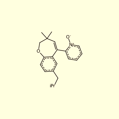 CC(C)Cc1ccc2c(c1)C(c1cccc[n+]1[O-])=CC(C)(C)CO2